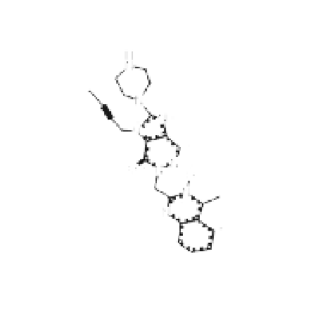 CC#CCn1c(N2CCNCC2)nc2cnn(Cc3nc4ccccc4c(C)[n+]3[O-])c(=O)c21